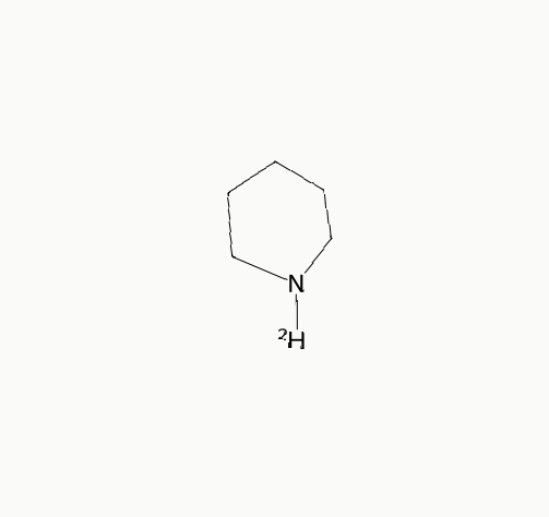 [2H]N1CCCCC1